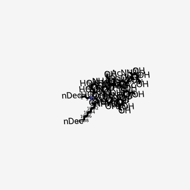 CCCCCCCCCCCCC/C=C/[C@@H](O)[C@H](CO[C@@H]1OC(CO)[C@@H](O[C@@H]2OC(CO)[C@H](O)[C@H](O[C@@H]3OC(CO)[C@@H](O)[C@H](O[C@@H]4OC(CO[C@@H]5OC(CO)[C@@H](O)[C@H](O)C5NC(C)=O)[C@H](O)[C@H](O[C@@H]5OC(CO)[C@@H](O)[C@H](O[C@@H]6OC(CO)[C@H](O)[C@H](O[C@H]7OC(CO)[C@H](O)[C@H](O)C7NC(C)=O)C6O)C5NC(C)=O)C4O)C3NC(C)=O)C2O)[C@H](O)C1O)NC(=O)CCCCCCCCCCCCCCCCC